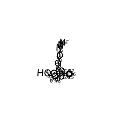 C[C@@H]1C(CO)O[C@H](OCCOCCOCCN=[N+]=[N-])C(OC(=O)c2ccccc2)[C@H]1C